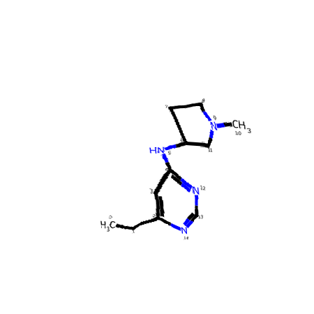 CCc1cc(NC2CCN(C)C2)ncn1